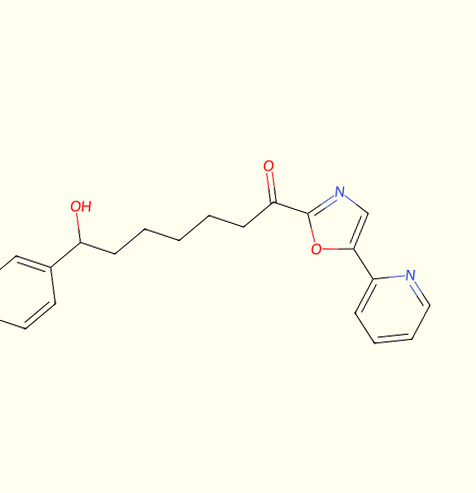 O=C(CCCCCC(O)c1ccccc1)c1ncc(-c2ccccn2)o1